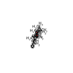 CC(C)c1cc(C(C)C)c(CC(=O)NS(=O)(=O)Oc2c(C(C)C)cc(NC(=O)C(N)Cc3ccccc3)cc2C(C)C)c(C(C)C)c1